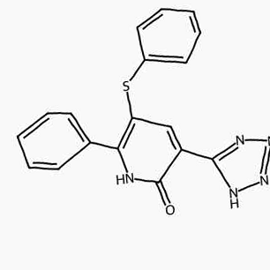 O=c1[nH]c(-c2ccccc2)c(Sc2ccccc2)cc1-c1nnn[nH]1